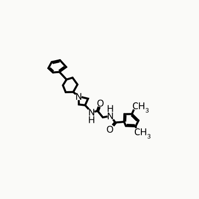 Cc1cc(C)cc(C(=O)NCC(=O)NC2CN(C3CCC(c4ccccc4)CC3)C2)c1